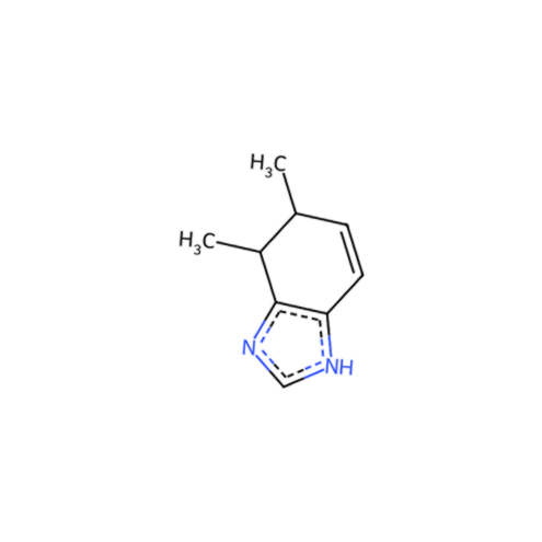 CC1C=Cc2[nH]cnc2C1C